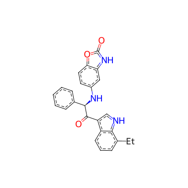 CCc1cccc2c(C(=O)[C@H](Nc3ccc4oc(=O)[nH]c4c3)c3ccccc3)c[nH]c12